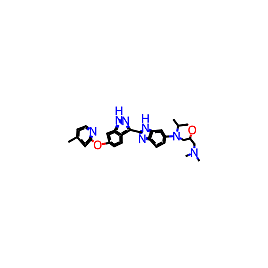 Cc1ccnc(Oc2ccc3c(-c4nc5ccc(N6CC(CN(C)C)OCC6C)cc5[nH]4)n[nH]c3c2)c1